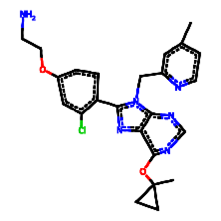 Cc1ccnc(Cn2c(-c3ccc(OCCN)cc3Cl)nc3c(OC4(C)CC4)ncnc32)c1